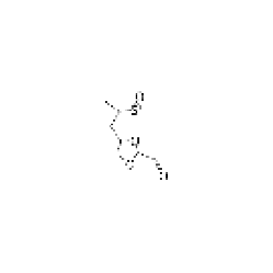 CC(CC1COC(C=O)O1)[S+]=O